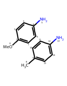 COc1ccc(N)cc1.Cc1ccc(N)cc1